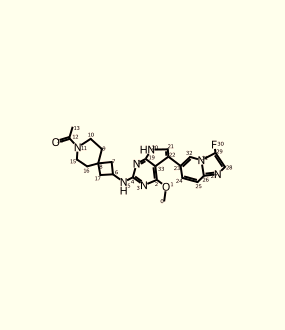 COc1nc(NC2CC3(CCN(C(C)=O)CC3)C2)nc2[nH]cc(-c3ccc4ncc(F)n4c3)c12